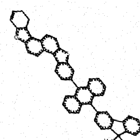 CC1(C)c2ccccc2-c2cc(-c3c4ccccc4c(-c4ccc5c(c4)sc4ccc6c(ccc7oc8c(c76)CCC=C8)c45)c4ccccc34)ccc21